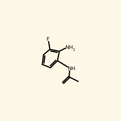 C=C(C)Nc1cccc(F)c1N